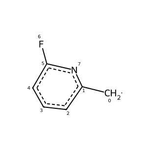 [CH2]c1cccc(F)n1